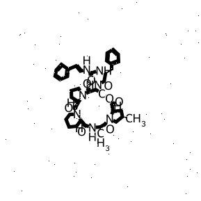 C[C@H]1C[C@H]2C(=O)OC[C@H](NC(=O)[C@H](Cc3ccccc3)NC(=O)N/C=C/c3ccccc3)C(=O)N3CCC[C@H]3C(=O)N3CCCC[C@H]3C(=O)N[C@@H](C)C(=O)N2C1